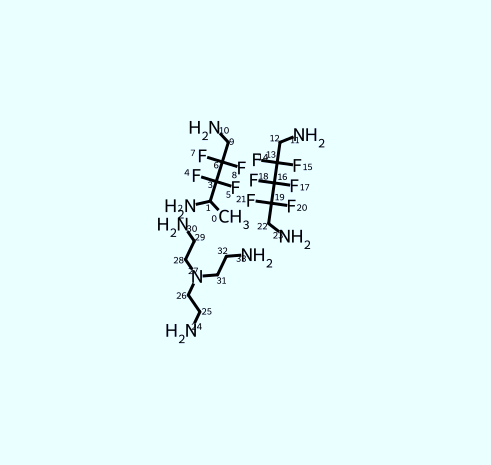 CC(N)C(F)(F)C(F)(F)CN.NCC(F)(F)C(F)(F)C(F)(F)CN.NCCN(CCN)CCN